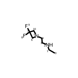 CCNCCN1CC(F)(F)C1